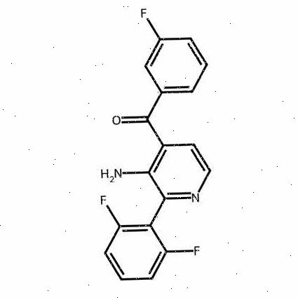 Nc1c(C(=O)c2cccc(F)c2)ccnc1-c1c(F)cccc1F